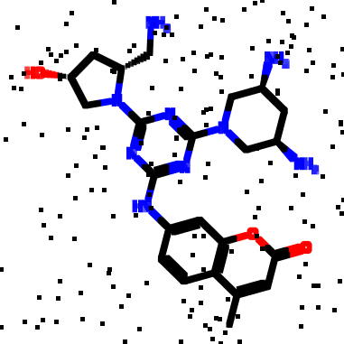 Cc1cc(=O)oc2cc(Nc3nc(N4C[C@H](N)C[C@H](N)C4)nc(N4C[C@H](O)C[C@@H]4CN)n3)ccc12